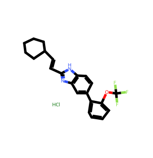 Cl.FC(F)(F)Oc1ccccc1-c1ccc2[nH]c(C=CC3CCCCC3)nc2c1